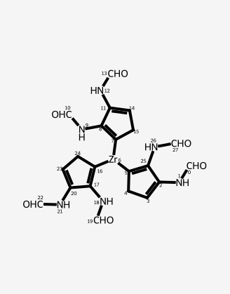 O=CNC1=CC[C]([Zr]([C]2=C(NC=O)C(NC=O)=CC2)[C]2=C(NC=O)C(NC=O)=CC2)=C1NC=O